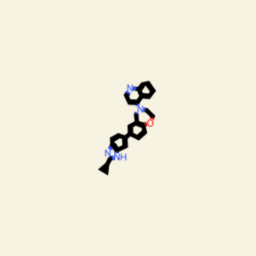 c1ccc2c(N3CCOc4ccc(-c5ccc6nc(C7CC7)[nH]c6c5)cc4C3)ccnc2c1